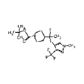 Cn1cc(SC(C)(F)C2CCN(C(=O)OC(C)(C)C)CC2)c(C(F)(F)F)n1